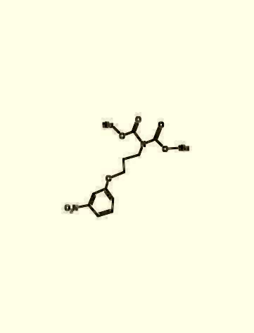 CC(C)(C)OC(=O)N(CCCOc1cccc([N+](=O)[O-])c1)C(=O)OC(C)(C)C